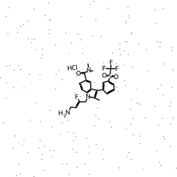 Cc1c(-c2cccc(S(=O)(=O)C(F)(F)F)c2)c2cc(C(=O)N(C)C)ccc2n1CC(F)=CCN.Cl